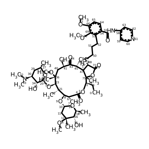 CC[C@H]1OC(=O)[C@H](C)[C@@H](O[C@H]2C[C@@](C)(OC)[C@@H](O)[C@H](C)O2)[C@H](C)[C@@H](O[C@@H]2O[C@H](C)C[C@H](N(C)C)[C@H]2O)[C@](C)(OC)C[C@@H](C)C(=O)[C@H](C)[C@H]2[C@H](SCCCc3c(C(=O)Nc4ccncc4)ccc(OC)c3OC)C(=O)O[C@@]21C